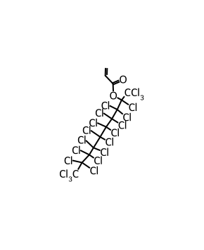 C=CC(=O)OC(Cl)(C(Cl)(Cl)Cl)C(Cl)(Cl)C(Cl)(Cl)C(Cl)(Cl)C(Cl)(Cl)C(Cl)(Cl)C(Cl)(Cl)C(Cl)(Cl)C(Cl)(Cl)Cl